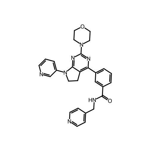 O=C(NCc1ccncc1)c1cccc(-c2nc(N3CCOCC3)nc3c2CCN3c2cccnc2)c1